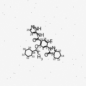 CC(Oc1cc(-n2nc3n(c2=O)CCCC3)c(F)cc1C(=O)Nc1ccn[nH]1)C1CCCCC1